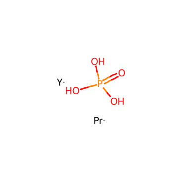 O=P(O)(O)O.[Pr].[Y]